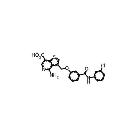 Nc1ncc(C(=O)O)c2scc(COc3cccc(C(=O)Nc4cccc(Cl)c4)c3)c12